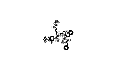 CC(C)C[C@@H](NC(=O)[C@@H](Cc1ccccc1)NC(=O)[C@@H](Cc1ccccc1)NC(=O)O)C(=O)N[C@H](CCCCNC(=O)OC(C)(C)C)C(=O)N1CCC2(CN(S(C)(=O)=O)C2)C(F)(F)C1